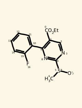 CCOC(=O)c1cnc([S+](C)[O-])nc1-c1ccccc1F